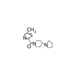 Cc1cnc(C(=O)N2CCC(N3CCCC3)CC2)s1